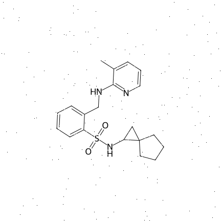 Cc1cccnc1NCc1ccccc1S(=O)(=O)NC1CC12CCCC2